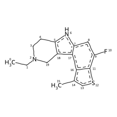 CCN1CCc2[nH]c3cc(F)c4scc(C)c4c3c2C1